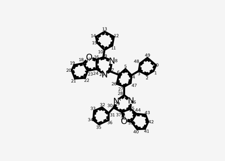 c1ccc(-c2cc(-c3nc(-c4ccccc4)c4oc5ccccc5c4n3)cc(-c3nc(-c4ccccc4)c4oc5ccccc5c4n3)c2)cc1